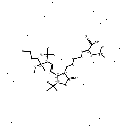 CCCC[C@@](C)(OC)[C@H](C=C[C@@H]1[C@H](C(C)(C)C)CC(=O)[C@@H]1CCCCCC(O[SiH](C)C)C(=O)O)C(C)(C)C